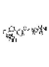 CC(C)c1cccc(-c2ccnc(OCCn3cc(S(N)(=O)=O)cn3)c2)c1CC(=O)O